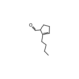 CCCCC1=CCCC1C=O